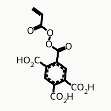 C=CC(=O)OOC(=O)c1cc(C(=O)O)c(C(=O)O)cc1C(=O)O